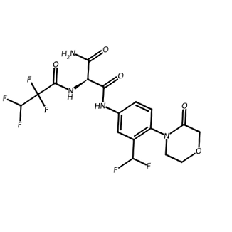 NC(=O)[C@H](NC(=O)C(F)(F)C(F)F)C(=O)Nc1ccc(N2CCOCC2=O)c(C(F)F)c1